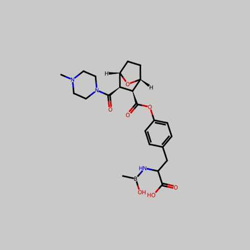 CB(O)NC(Cc1ccc(OC(=O)[C@H]2[C@@H](C(=O)N3CCN(C)CC3)[C@@H]3CC[C@H]2O3)cc1)C(=O)O